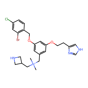 C[N+](C)(Cc1cc(OCCc2c[nH]cn2)cc(OCc2ccc(Cl)cc2Br)c1)CC1CNC1